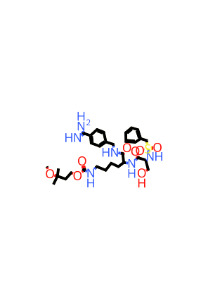 COC(C)(C)CCOC(=O)NCCCCC(NC(=O)C(CO)NS(=O)(=O)Cc1ccccc1)C(=O)NCc1ccc(C(=N)N)cc1